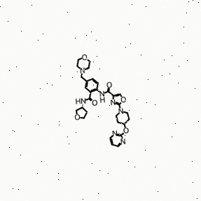 O=C(Nc1ccc(CN2CCOCC2)cc1C(=O)N[C@@H]1CCOC1)c1coc(N2CCC(Oc3ncccn3)CC2)n1